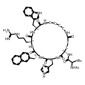 CCCCC(NC(C)=O)C(=O)N[C@H]1CCC(=O)NCCCCNC(=O)[C@H](Cc2c[nH]c3ccccc23)NC(=O)[C@H](CCCNC(=N)N)NC(=O)[C@@H](Cc2ccc3ccccc3c2)NC(=O)[C@H](Cc2c[nH]cn2)NC1=O